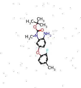 Cc1ccc(Oc2ccc(N)c(N(C)C(=O)OC(C)(C)C)c2)c(F)c1